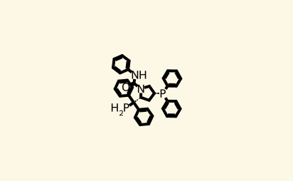 O=C(Nc1ccccc1)N1C[C@H](P(c2ccccc2)c2ccccc2)C[C@@H]1C(P)(c1ccccc1)c1ccccc1